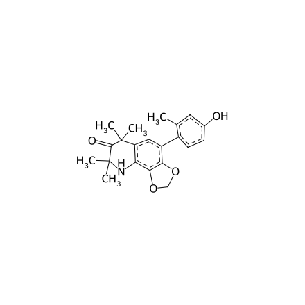 Cc1cc(O)ccc1-c1cc2c(c3c1OCO3)NC(C)(C)C(=O)C2(C)C